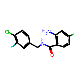 Nc1cc(Cl)ccc1C(=O)NCc1ccc(Cl)c(F)c1